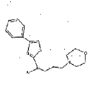 CC(=O)N(CCCN1CCOCC1)c1nc(-c2ccccc2)cs1